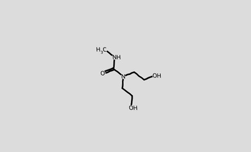 CNC(=O)N(CCO)CCO